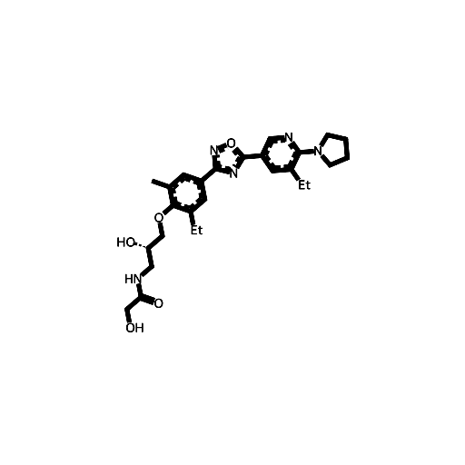 CCc1cc(-c2nc(-c3cc(C)c(OC[C@@H](O)CNC(=O)CO)c(CC)c3)no2)cnc1N1CCCC1